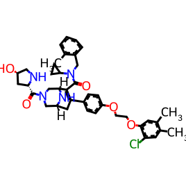 Cc1cc(Cl)c(OCCOc2ccc(C3=C(C(=O)N(Cc4ccccc4C)C4CC4)[C@H]4CN(C(=O)[C@@H]5C[C@@H](O)CN5)C[C@@H](C3)N4)cc2)cc1C